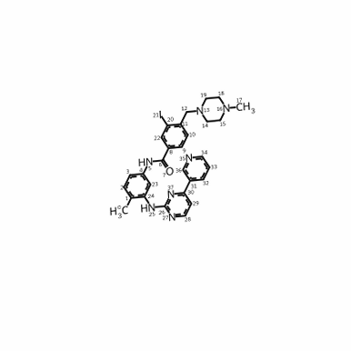 Cc1ccc(NC(=O)c2ccc(CN3CCN(C)CC3)c(I)c2)cc1Nc1nccc(-c2cccnc2)n1